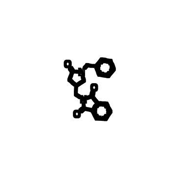 O=C1CC(CN2C(=O)c3ccccc3C2=O)CN1Cc1ccccc1